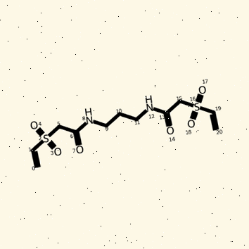 C=CS(=O)(=O)CC(=O)NCCCNC(=O)CS(=O)(=O)C=C